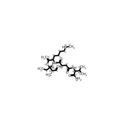 C=C[C@H](C)C(C)(CC)OC(=C)C(CCCCNC)NC(=O)CCC(=O)NC(C(N)=O)C(C)C